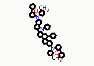 Cc1cccc(N(c2ccc3c4c(ccc3c2)-c2ccc3c5ccc6cc(N(c7cccc(C)c7)c7cccc8c7oc7ccccc78)ccc6c5n(-c5ccccc5)c3c2CC4c2ccccc2)c2cccc3c2oc2ccccc23)c1